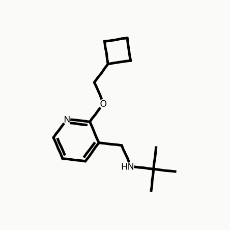 CC(C)(C)NCc1cccnc1OCC1CCC1